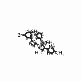 COc1cccc(OC)c1-n1c(NSC(C)C(OC)c2ncc(C)cn2)nnc1-c1cccc(Br)c1